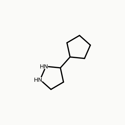 C1CCC(C2CCNN2)C1